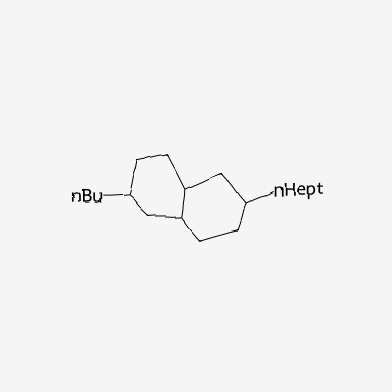 CCCCCCCC1CCC2CC(CCCC)CCC2C1